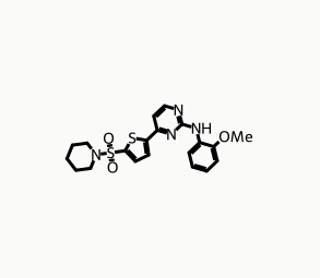 COc1ccccc1Nc1nccc(-c2ccc(S(=O)(=O)N3CCCCC3)s2)n1